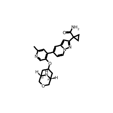 Cc1cc(-c2ccn3nc(C4(C(N)=O)CC4)cc3c2)c(OC2C[C@H]3COC[C@@H](C2)N3)cn1